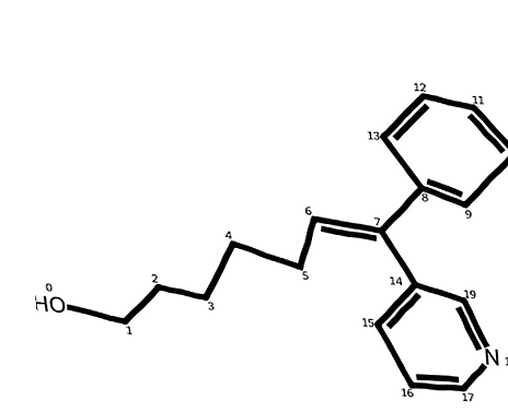 OCCCCCC=C(c1ccccc1)c1cccnc1